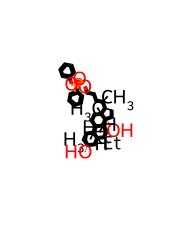 CC[C@H]1[C@@H](O)[C@@H]2[C@H](CC[C@]3(C)[C@@H]([C@H](C)CCCOP(=O)(Oc4ccccc4)c4ccccc4)CC[C@@H]23)[C@@]2(C)CC[C@@H](O)C[C@@H]12